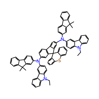 CCn1c2ccccc2c2cc(N(c3ccc4c(c3)C(C)(C)c3ccccc3-4)c3ccc4c(c3)C3(c5ccccc5Sc5ccccc53)c3cc(N(c5ccc6c(c5)C(C)(C)c5ccccc5-6)c5ccc6c(c5)c5ccccc5n6CC)ccc3-4)ccc21